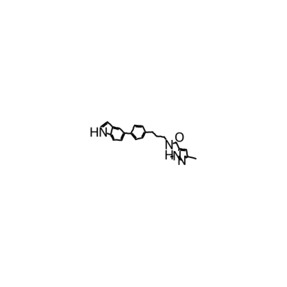 Cc1cc(C(=O)NCCCc2ccc(-c3ccc4[nH]ccc4c3)cc2)n(C)n1